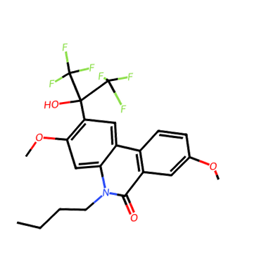 CCCCn1c(=O)c2cc(OC)ccc2c2cc(C(O)(C(F)(F)F)C(F)(F)F)c(OC)cc21